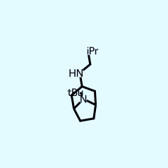 CC(C)CNC1CC2CCC(C1)N2C(C)(C)C